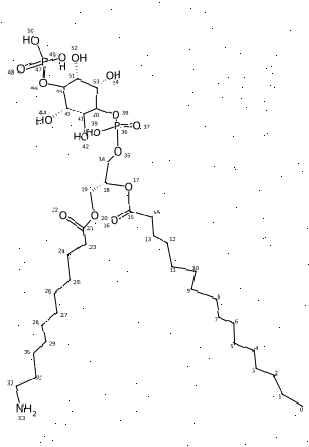 CCCCCCCCCCCCCCCC(=O)O[C@H](COC(=O)CCCCCCCCCCN)COP(=O)(O)OC1C(O)[C@H](O)C(OP(=O)(O)O)[C@H](O)[C@@H]1O